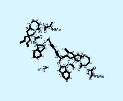 C=CCC1(CC=C)C[C@@H]2SCC[C@H](NC(=O)[C@H](C)NC)C(=O)N2[C@@H]1C(=O)N[C@H]1c2ccccc2C[C@H]1OCC#CC#CCO[C@@H]1Cc2ccccc2[C@@H]1NC(=O)[C@H]1N2C(=O)[C@@H](NC(=O)[C@H](C)NC)CCS[C@H]2CC1(CC=C)CC=C.Cl.Cl